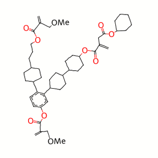 C=C(COC)C(=O)OCCCC1CCC(c2ccc(OC(=O)C(=C)COC)cc2C2CCC(C3CCC(OC(=O)C(=C)CC(=O)OC4CCCCC4)CC3)CC2)CC1